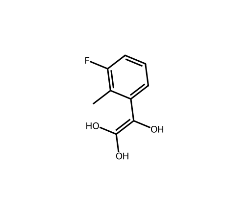 Cc1c(F)cccc1C(O)=C(O)O